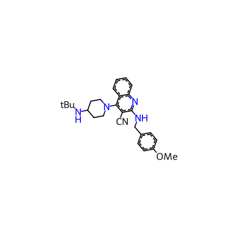 COc1ccc(CNc2nc3ccccc3c(N3CCC(NC(C)(C)C)CC3)c2C#N)cc1